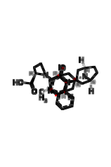 C[C@@H]1C[C@@H]2C[C@H](C1)C[C@@H](N1[C@@H]3CC[C@H]1C[C@@H](n1c(=O)c(N4CC[C@@H]4C(=O)O)nc4ccccc41)C3)C2